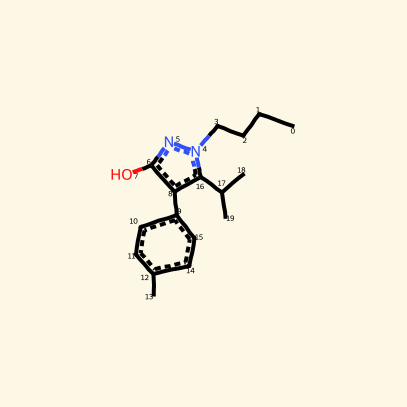 CCCCn1nc(O)c(-c2ccc(C)cc2)c1C(C)C